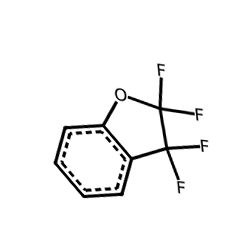 FC1(F)Oc2ccccc2C1(F)F